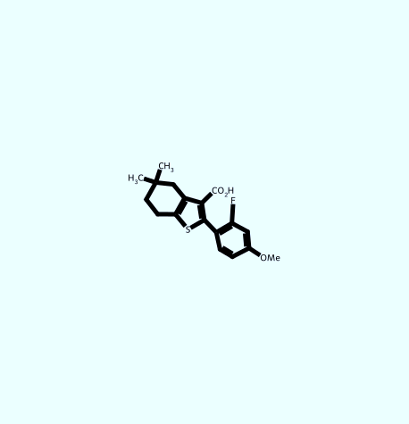 COc1ccc(-c2sc3c(c2C(=O)O)CC(C)(C)CC3)c(F)c1